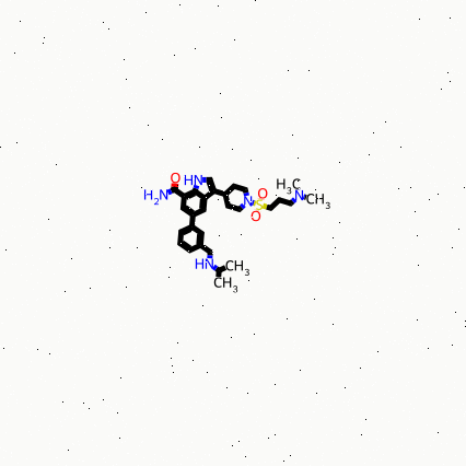 CC(C)NCc1cccc(-c2cc(C(N)=O)c3[nH]cc(C4CCN(S(=O)(=O)CCCN(C)C)CC4)c3c2)c1